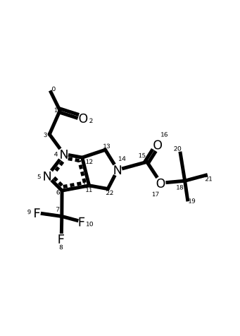 CC(=O)Cn1nc(C(F)(F)F)c2c1CN(C(=O)OC(C)(C)C)C2